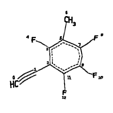 C#Cc1c(F)c(C)c(F)c(F)c1F